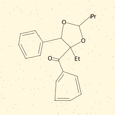 CCC1(C(=O)c2ccccc2)OC(C(C)C)OC1c1ccccc1